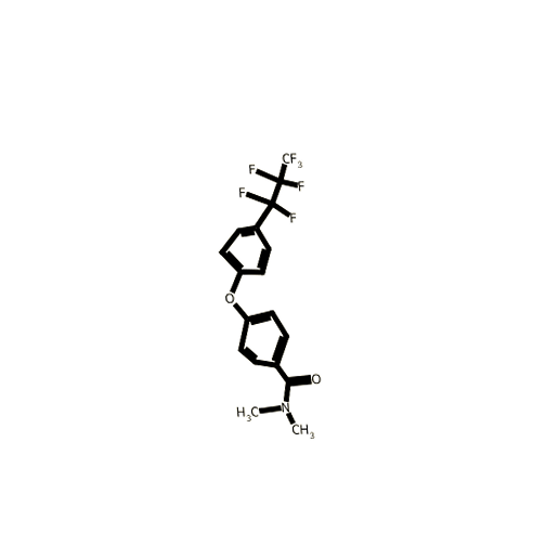 CN(C)C(=O)c1ccc(Oc2ccc(C(F)(F)C(F)(F)C(F)(F)F)cc2)cc1